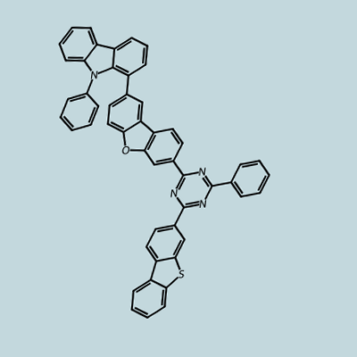 c1ccc(-c2nc(-c3ccc4c(c3)oc3ccc(-c5cccc6c7ccccc7n(-c7ccccc7)c56)cc34)nc(-c3ccc4c(c3)sc3ccccc34)n2)cc1